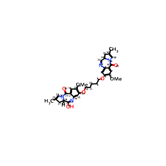 COc1cc2c(cc1OCCCCCOc1cc3c(cc1OC)C(=O)N1C=C(C)C[C@H]1C(O)=N3)N=CC1CC(C)=CN1C2=O